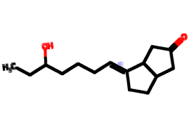 CCC(O)CCC/C=C1\CCC2CC(=O)CC12